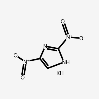 O=[N+]([O-])c1c[nH]c([N+](=O)[O-])n1.[KH]